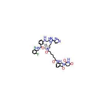 CN(CCCn1c(CNc2cccc(C(=O)NCc3c(F)cccc3F)c2)nnc1-c1ccncn1)C(=O)CCCCCC(=O)Nc1cccc2c1CN(C1CCC(=O)NC1=O)C2=O